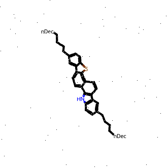 CCCCCCCCCCCCCCc1ccc2[nH]c3c(ccc4c3ccc3c5cc(CCCCCCCCCCCCCC)ccc5sc34)c2c1